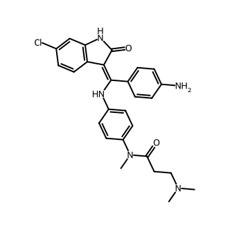 CN(C)CCC(=O)N(C)c1ccc(NC(=C2C(=O)Nc3cc(Cl)ccc32)c2ccc(N)cc2)cc1